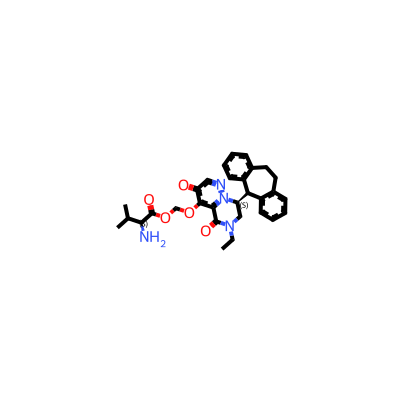 CCN1C[C@H](C2c3ccccc3CCc3ccccc32)n2ncc(=O)c(OCOC(=O)[C@@H](N)C(C)C)c2C1=O